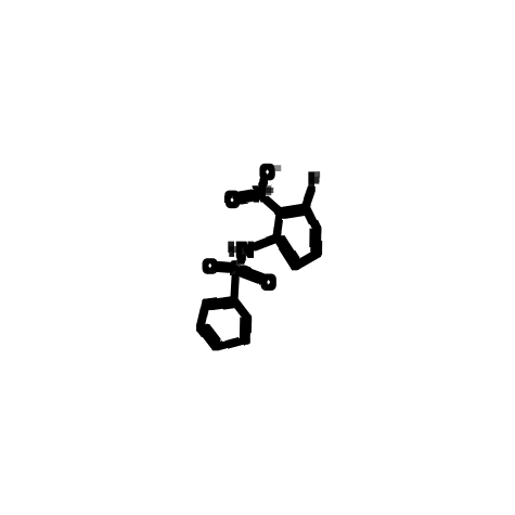 O=[N+]([O-])c1c(F)cccc1NS(=O)(=O)c1ccccc1